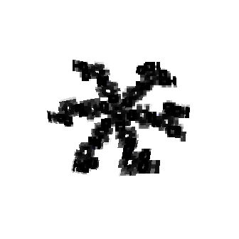 Cc1cc(/N=N/c2ccc(OCc3c(COc4ccc(/N=N/c5cccc(C(=O)O)c5)cc4)c(COc4ccc(/N=N/c5cccc(C(=O)O)c5)cc4)c(COc4ccc(/N=N/c5cccc(C(=O)O)c5)cc4)c(COc4ccc(/N=N/c5cccc(C(=O)O)c5)cc4)c3COc3ccc(/N=N/c4cc(C(=O)O)cc(C(=O)O)c4)cc3)cc2)cc(C(=O)O)c1